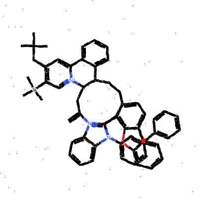 C=C1CC2C(CCc3ccc4c(oc5ccccc54)c3-c3n(-c4cccc(-c5ccccc5)c4)c4ccccc4[n+]31)c1ccccc1-c1cc(CC(C)(C)C)c([Si](C)(C)C)c[n+]12